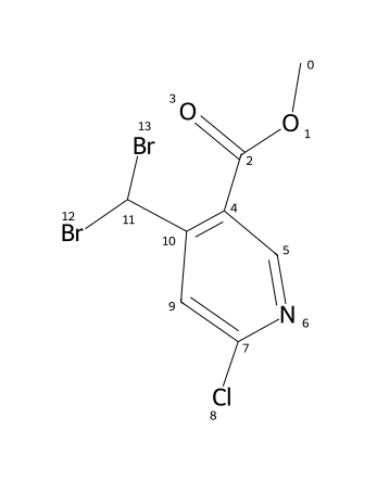 COC(=O)c1cnc(Cl)cc1C(Br)Br